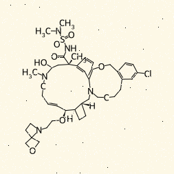 CN1CC/C=C/[C@H](OCCN2CCC23COC3)[C@@H]2CC[C@H]2CN2CCCCc3cc(Cl)ccc3COc3ccc(cc32)[C@@](C)(C(=O)NS(=O)(=O)N(C)C)CC1O